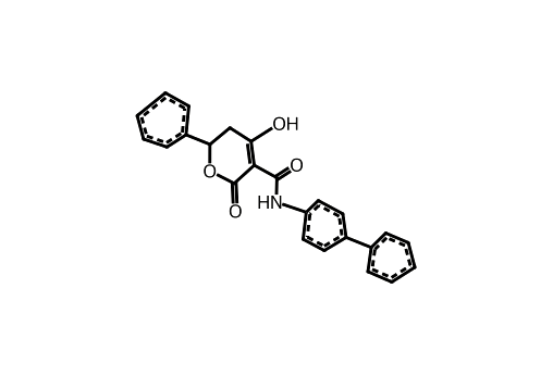 O=C(Nc1ccc(-c2ccccc2)cc1)C1=C(O)CC(c2ccccc2)OC1=O